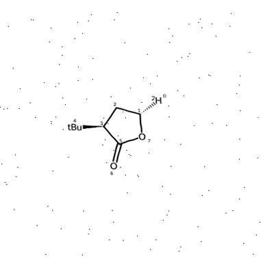 [2H][C@H]1C[C@H](C(C)(C)C)C(=O)O1